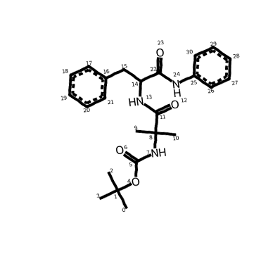 CC(C)(C)OC(=O)NC(C)(C)C(=O)NC(Cc1ccccc1)C(=O)Nc1ccccc1